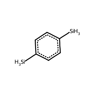 [SiH3]c1ccc([SiH3])cc1